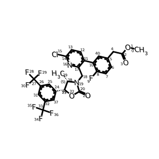 COC(=O)Cc1ccc(F)c(-c2ccc(Cl)nc2CN2C(=O)O[C@H](c3cc(C(F)(F)F)cc(C(F)(F)F)c3)[C@@H]2C)c1